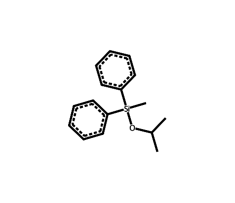 CC(C)O[Si](C)(c1ccccc1)c1ccccc1